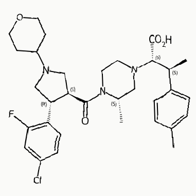 Cc1ccc([C@H](C)[C@@H](C(=O)O)N2CCN(C(=O)[C@@H]3CN(C4CCOCC4)C[C@H]3c3ccc(Cl)cc3F)[C@@H](C)C2)cc1